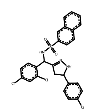 O=S(=O)(NC(C1=NNC(c2ccc(Cl)cc2)C1)c1ccc(Cl)cc1Cl)c1ccc2ccccc2c1